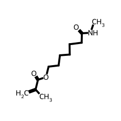 C=C(C)C(=O)OCCCCCCC(=O)NC